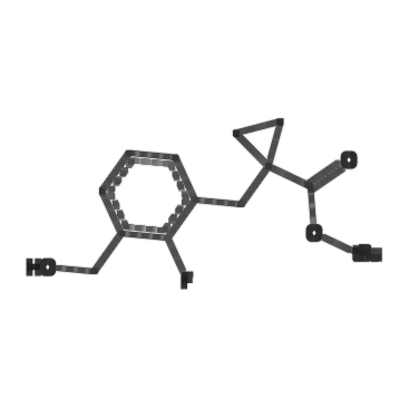 CC(C)(C)OC(=O)C1(Cc2cccc(CO)c2F)CC1